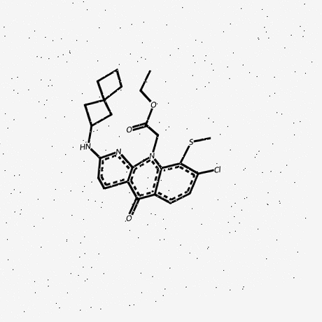 CCOC(=O)Cn1c2nc(NC3CC4(CCC4)C3)ccc2c(=O)c2ccc(Cl)c(SC)c21